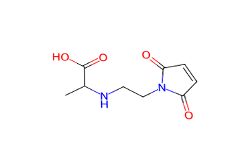 CC(NCCN1C(=O)C=CC1=O)C(=O)O